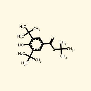 CC(C)(C)SC(=S)c1cc(C(C)(C)C)c(O)c(C(C)(C)C)c1